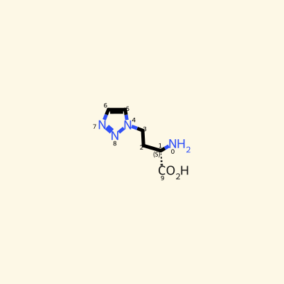 N[C@@H](CCn1ccnn1)C(=O)O